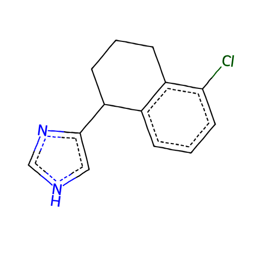 Clc1cccc2c1CCCC2c1c[nH]cn1